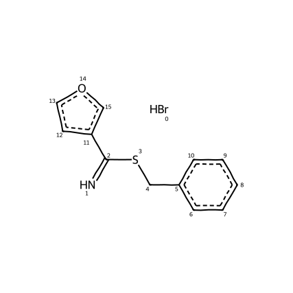 Br.N=C(SCc1ccccc1)c1ccoc1